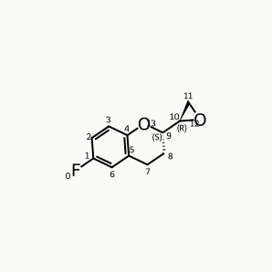 Fc1ccc2c(c1)CC[C@@H]([C@H]1CO1)O2